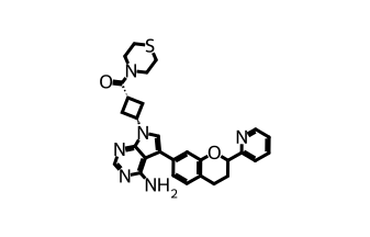 Nc1ncnc2c1c(-c1ccc3c(c1)OC(c1ccccn1)CC3)cn2[C@H]1C[C@@H](C(=O)N2CCSCC2)C1